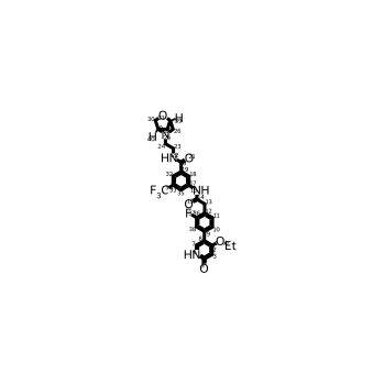 CCOc1cc(=O)[nH]cc1-c1ccc(CC(=O)Nc2cc(C(=O)NCCN3C[C@@H]4C[C@H]3CO4)cc(C(F)(F)F)c2)c(F)c1